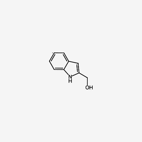 OCc1cc2c[c]ccc2[nH]1